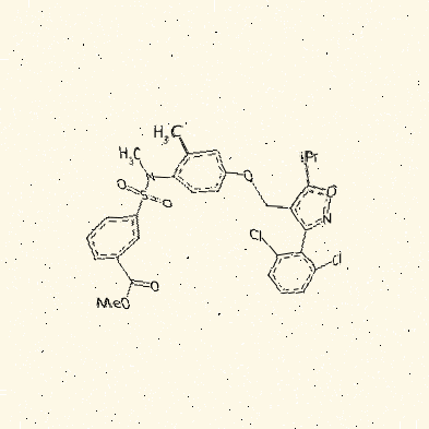 COC(=O)c1cccc(S(=O)(=O)N(C)c2ccc(OCc3c(-c4c(Cl)cccc4Cl)noc3C(C)C)cc2C)c1